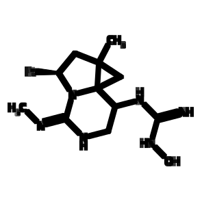 CC[C@H]1CC2(C)CC23C(NC(=N)NO)CN/C(=N/C)N13